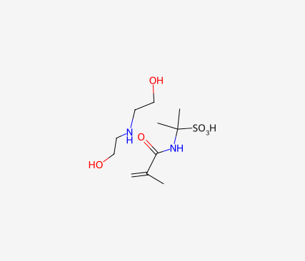 C=C(C)C(=O)NC(C)(C)S(=O)(=O)O.OCCNCCO